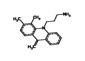 C=C1c2ccccc2N(CCCN)c2c1ccc(C)c2C